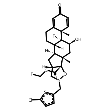 C[C@]12C=CC(=O)C=C1CC[C@H]1[C@@H]3C[C@H]4CN(Cc5ccc(Cl)s5)O[C@@]4(C(=O)SCF)[C@@]3(C)C[C@H](O)[C@@]12F